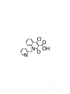 O=C(O)c1c(Cl)c2ccccc2n(Cc2ccccn2)c1=O